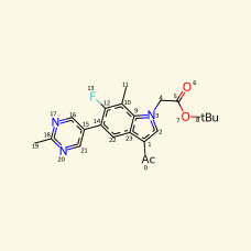 CC(=O)c1cn(CC(=O)OC(C)(C)C)c2c(C)c(F)c(-c3cnc(C)nc3)cc12